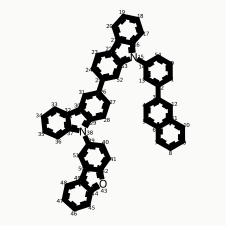 c1cc(-c2ccc3ccccc3c2)cc(-n2c3ccccc3c3ccc(-c4ccc5c(c4)c4ccccc4n5-c4ccc5oc6ccccc6c5c4)cc32)c1